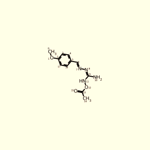 COc1ccc(C=NN=C(N)NOC(C)=O)cc1